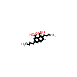 CCCCc1cc(C(=O)O)c2c(C(=O)O)c(CCCC)ccc2c1